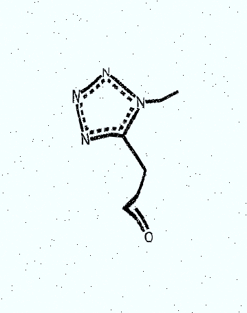 Cn1nnnc1CC=O